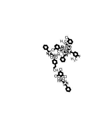 CCCc1ccc(S(=O)(=O)Nc2nnc(-c3ccccc3)s2)cc1.Cc1c(Cl)cccc1S(=O)(=O)Nc1nnc(-c2ccccc2)s1.Cc1cc(-c2nnc(NS(=O)(=O)c3cccc(Cl)c3C)s2)ccc1F.O=S(=O)(Nc1nnc(-c2ccccc2)s1)c1c(Cl)cc(Cl)cc1Cl